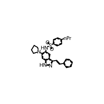 CCCc1ccc(S(=O)(=O)Nc2cc3c(C=Cc4ccccc4)n[nH]c3cc2N2CCCC2)cc1